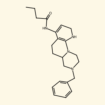 CCCC(=O)NC1=CCNC2=C1CCC1CN(Cc3ccccc3)CCN21